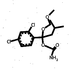 COCOC(CC(C)C)(OC(N)=O)c1ccc(Cl)cc1Cl